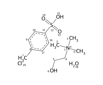 C[N+](C)(C)CCO.Cc1ccc(S(=O)(=O)O)cc1.O.[Cl-]